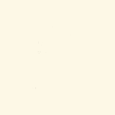 C=C(C)C(C)c1c(O)ccc(/C=C/[C]=O)c1OC